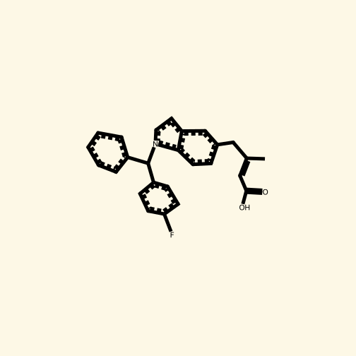 CC(=CC(=O)O)Cc1ccc2c(ccn2C(c2ccccc2)c2ccc(F)cc2)c1